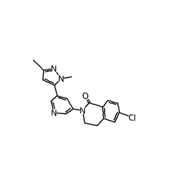 Cc1cc(-c2cncc(N3CCc4cc(Cl)ccc4C3=O)c2)n(C)n1